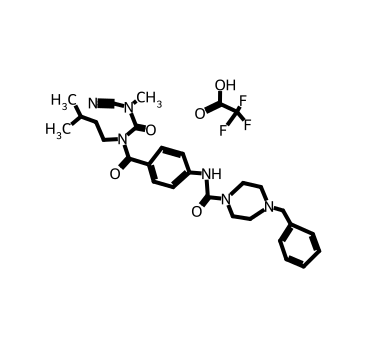 CC(C)CCN(C(=O)c1ccc(NC(=O)N2CCN(Cc3ccccc3)CC2)cc1)C(=O)N(C)C#N.O=C(O)C(F)(F)F